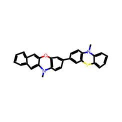 CN1c2ccc(-c3ccc4c(c3)Sc3ccccc3N4C)cc2Oc2cc3ccccc3cc21